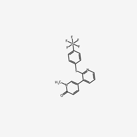 Cn1cc(-c2cccnc2Sc2ccc(S(F)(F)(F)(F)F)cc2)ccc1=O